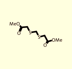 COC(=O)CSCSCC(=O)OC